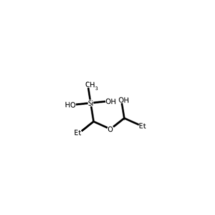 CC[C](O)OC(CC)[Si](C)(O)O